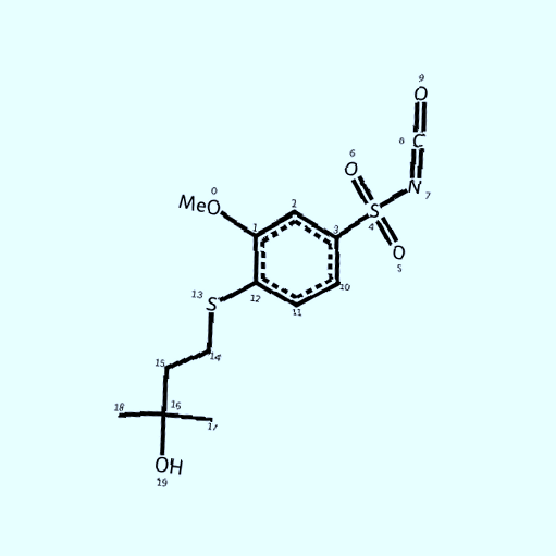 COc1cc(S(=O)(=O)N=C=O)ccc1SCCC(C)(C)O